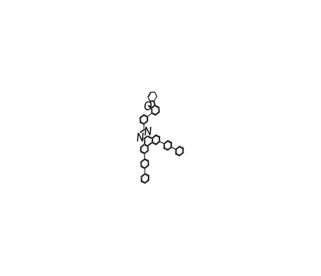 C1=Cc2oc3c(-c4cccc(-c5cnc6c7ccc(-c8ccc(-c9ccccc9)cc8)cc7c7cc(-c8ccc(-c9ccccc9)cc8)ccc7c6n5)c4)cccc3c2CC1